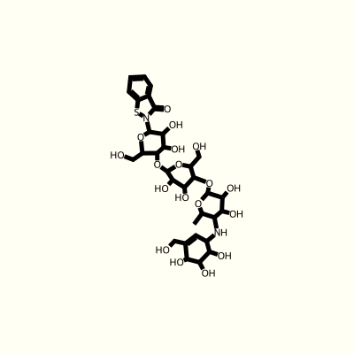 CC1OC(OC2C(CO)OC(OC3C(CO)OC(n4sc5ccccc5c4=O)C(O)C3O)C(O)C2O)C(O)C(O)C1NC1C=C(CO)C(O)C(O)C1O